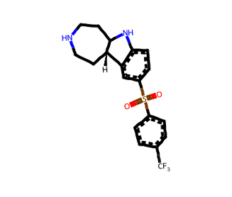 O=S(=O)(c1ccc(C(F)(F)F)cc1)c1ccc2c(c1)[C@@H]1CCNCCC1N2